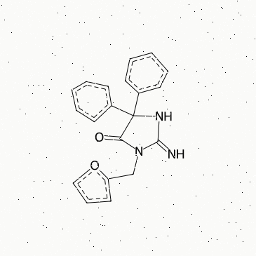 N=C1NC(c2ccccc2)(c2ccccc2)C(=O)N1Cc1ccco1